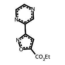 CCOC(=O)c1cc(-c2cnccn2)no1